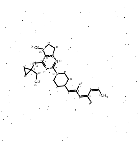 C\C=C/C(F)=C\C(F)=C\C1CCN(c2nc3c(c(NC4(CO)CC4)n2)[S+]([O-])CC3)CC1